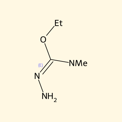 CCO/C(=N/N)NC